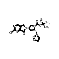 CC(C)(C)OC(=O)N1C[C@H](N2Cc3cnc(Cl)nc3C2=O)C[C@H]1Cn1ccnn1